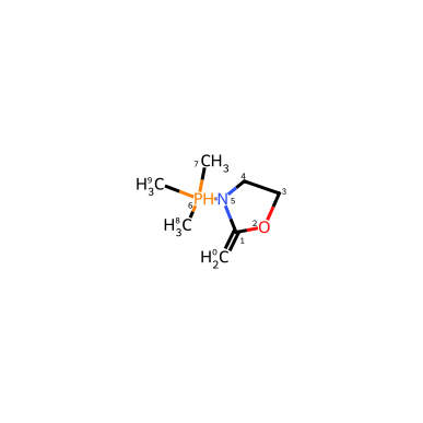 C=C1OCCN1[PH](C)(C)C